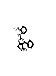 N[C@H]1CCCC[C@H]1Nc1nc2c(c(-c3ccccc3)n1)C(=O)NC2